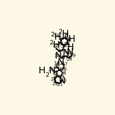 [2H]c1c([2H])c([2H])c(-c2c(C)nc(N3CCC4(CC3)Cc3ncccc3[C@H]4N)c3ccnn23)c([2H])c1[2H]